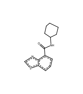 O=C(NC1CCCCC1)c1cccc2scnc12